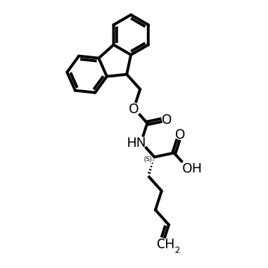 C=CCCC[C@H](NC(=O)OCC1c2ccccc2-c2ccccc21)C(=O)O